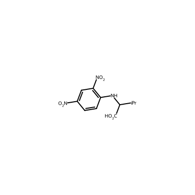 CC(C)C(Nc1ccc([N+](=O)[O-])cc1[N+](=O)[O-])C(=O)O